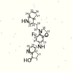 OC1CCc2c(Nc3cc(F)c4c(c3)OCCN4CCC3=CNC4=CC=CCC34)ccnc21